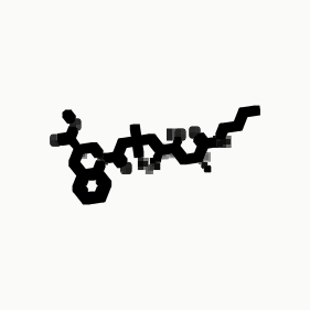 CCCCNC(=O)[C@H](C)C[C@H](O)[C@@H](N)CC(C)(C)CC(=O)N1C[C@H](C(=O)OC)Cc2ccccc21